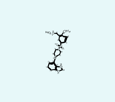 Cc1ccc(S(=O)(=O)N2CCN(c3cccc4c3OCO4)CC2)cc1CC(=O)O